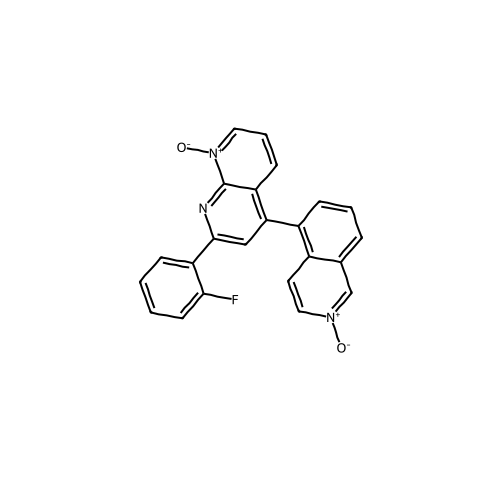 [O-][n+]1ccc2c(-c3cc(-c4ccccc4F)nc4c3ccc[n+]4[O-])cccc2c1